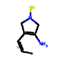 C/C=C\C1=C(N)CN(S)C1